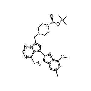 COc1cc(C)cc2cc(-c3cc(CN4CCN(C(=O)OC(C)(C)C)CC4)n4ncnc(N)c34)sc12